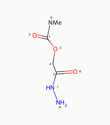 CNC(=O)OCC(=O)NN